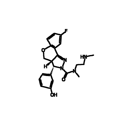 CNCCN(C)C(=O)N1N=C2c3cc(F)ccc3OC[C@H]2[C@H]1c1cccc(O)c1